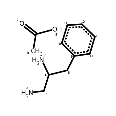 CC(=O)O.NCC(N)Cc1ccccc1